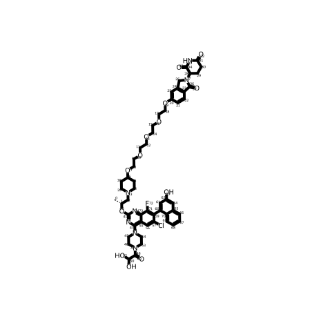 C[C@H](CN1CCC(OCCOCCOCCOCCOc2ccc3c(c2)CN(C2CCC(=O)NC2=O)C3=O)CC1)Oc1nc(N2CCN(C(=O)C(O)O)CC2)c2cc(Cl)c(-c3cc(O)cc4ccccc34)c(F)c2n1